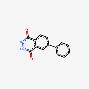 O=c1[nH][nH]c(=O)c2cc(-c3ccccc3)ccc12